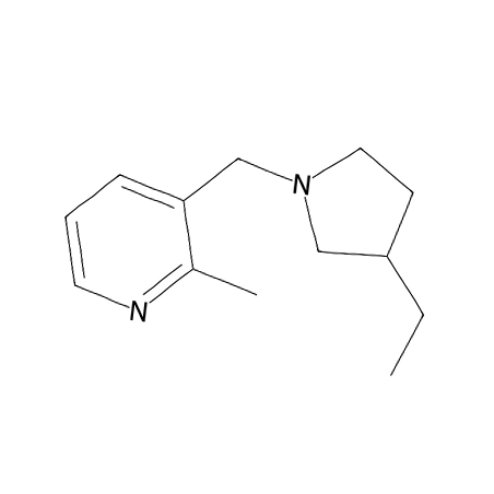 CCC1CCN(Cc2cccnc2C)C1